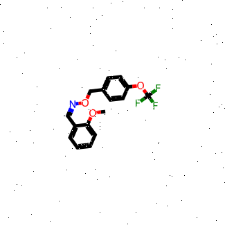 COc1ccccc1/[C]=N\OCc1ccc(OC(F)(F)F)cc1